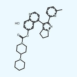 Cc1cccc(-c2nn3c(c2-c2ccnc4ccc(OC(=O)N5CCC(N6CCCCC6)CC5)cc24)CCC3)n1.Cl